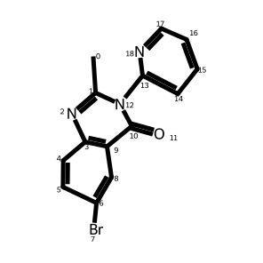 Cc1nc2ccc(Br)cc2c(=O)n1-c1ccccn1